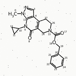 Cn1ncc2c3c(c(=O)n(C4CC4)c21)CN(C(=O)OCc1ccccc1)CC3